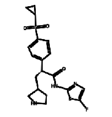 O=C(Nc1ncc(F)s1)[C@H](C[C@H]1CCNC1)c1ccc(S(=O)(=O)C2CC2)cc1